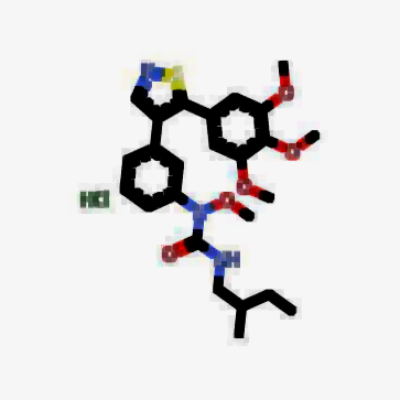 CCC(C)CNC(=O)N(OC)c1cccc(-c2cnsc2-c2cc(OC)c(OC)c(OC)c2)c1.Cl